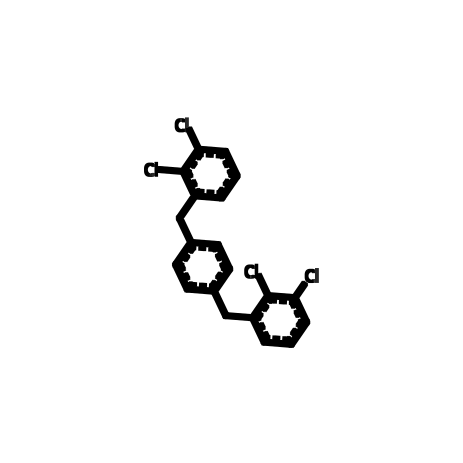 Clc1cccc(Cc2ccc(Cc3cccc(Cl)c3Cl)cc2)c1Cl